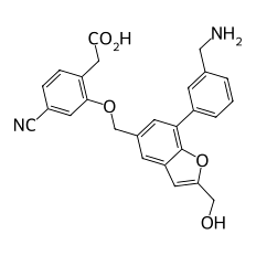 N#Cc1ccc(CC(=O)O)c(OCc2cc(-c3cccc(CN)c3)c3oc(CO)cc3c2)c1